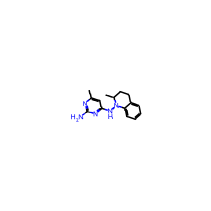 Cc1cc(NN2c3ccccc3CCC2C)nc(N)n1